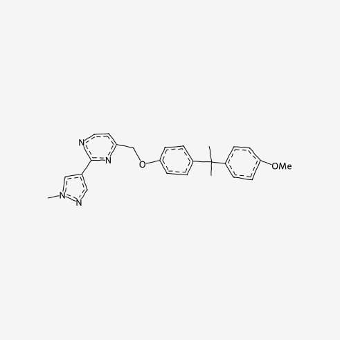 COc1ccc(C(C)(C)c2ccc(OCc3ccnc(-c4cnn(C)c4)n3)cc2)cc1